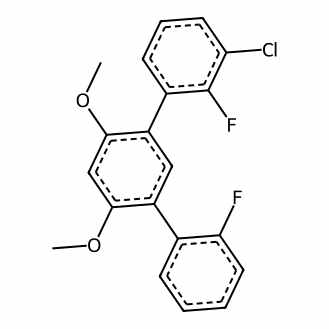 COc1cc(OC)c(-c2cccc(Cl)c2F)cc1-c1ccccc1F